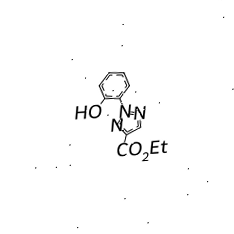 CCOC(=O)c1cnn(-c2ccccc2O)n1